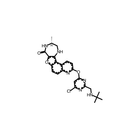 C[C@@H]1CNc2c(oc3ccc4nc(Oc5cc(Cl)nc(CNC(C)(C)C)n5)ccc4c23)C(=O)N1